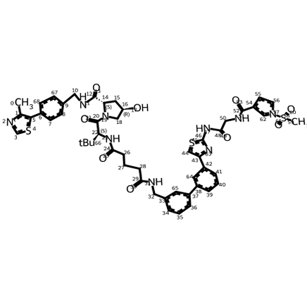 Cc1ncsc1-c1ccc(CNC(=O)[C@@H]2C[C@@H](O)CN2C(=O)[C@@H](NC(=O)CCCC(=O)NCc2cccc(-c3cccc(-c4csc(NC(=O)CNC(=O)c5ccn(S(C)(=O)=O)c5)n4)c3)c2)C(C)(C)C)cc1